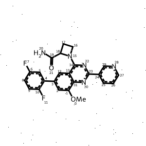 COc1cc(-c2cc(F)ccc2F)cc2c(N3CCC3C(N)=O)nc(-c3cccnc3)nc12